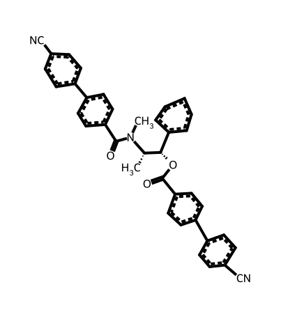 C[C@@H]([C@@H](OC(=O)c1ccc(-c2ccc(C#N)cc2)cc1)c1ccccc1)N(C)C(=O)c1ccc(-c2ccc(C#N)cc2)cc1